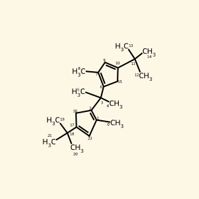 CC1=C(C(C)(C)C2=C(C)C=C(C(C)(C)C)C2)CC(C(C)(C)C)=C1